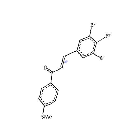 CSc1ccc(C(=O)/C=C/c2cc(Br)c(Br)c(Br)c2)cc1